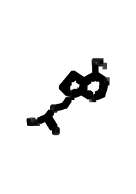 Cc1ncnc2c1ccn2COC(=O)C(C)(C)C